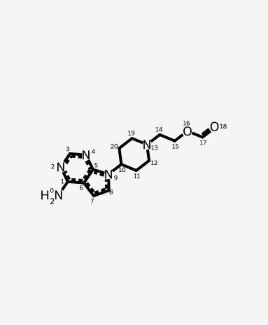 Nc1ncnc2c1ccn2C1CCN(CCOC=O)CC1